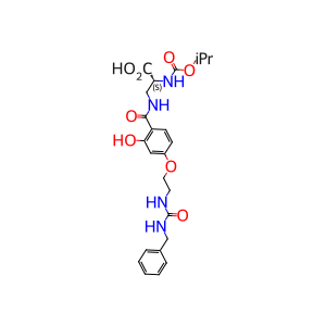 CC(C)OC(=O)N[C@@H](CNC(=O)c1ccc(OCCNC(=O)NCc2ccccc2)cc1O)C(=O)O